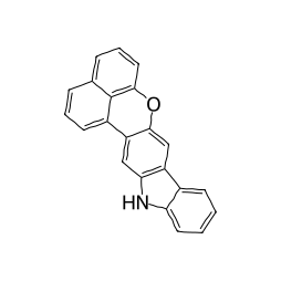 c1cc2c3c(cccc3c1)-c1cc3[nH]c4ccccc4c3cc1O2